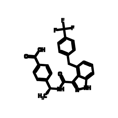 C[C@H](NC(=O)c1n[nH]c2cccc(Cc3ccc(C(F)(F)F)cc3)c12)c1ccc(C(=O)O)cc1